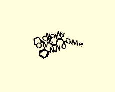 COC(=O)c1nnn(C#N)c1-c1ncn2c1c(=O)n(C1(C)CCCO1)c1ccccc12